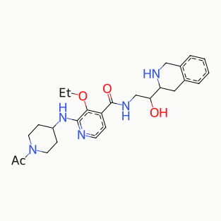 CCOc1c(C(=O)NCC(O)C2Cc3ccccc3CN2)ccnc1NC1CCN(C(C)=O)CC1